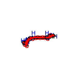 CC(=O)c1c(C)c2cnc(Nc3ccc(N4CCN(CC(=O)NCCOCCOCCOCCOCCOCCNC(=O)c5ccc(C(=O)Nc6ncc(C)s6)c(C)c5)CC4)cn3)nc2n(C2CCCC2)c1=O